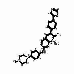 CCn1c(=O)c(-c2ccc(-c3cncs3)cc2)cc2cnc(Nc3ccc(N4CCN(C)CC4)cc3)nc21